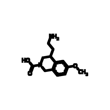 COc1ccc2c(c1)C(CCN)CN(C(=O)O)C2